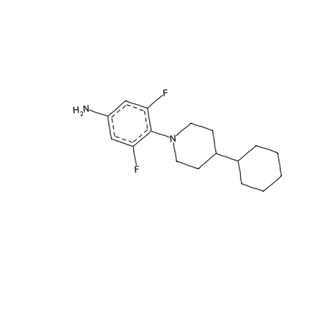 Nc1cc(F)c(N2CCC(C3CCCCC3)CC2)c(F)c1